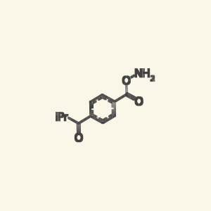 CC(C)C(=O)c1ccc(C(=O)ON)cc1